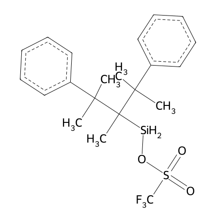 CC(C)(c1ccccc1)C(C)([SiH2]OS(=O)(=O)C(F)(F)F)C(C)(C)c1ccccc1